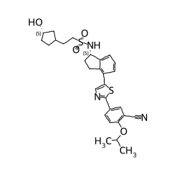 CC(C)Oc1ccc(-c2ncc(-c3cccc4c3CC[C@@H]4NS(=O)(=O)CCC3CC[C@H](O)C3)s2)cc1C#N